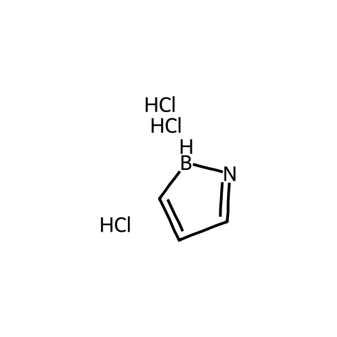 B1C=CC=N1.Cl.Cl.Cl